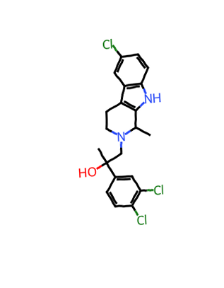 CC1c2[nH]c3ccc(Cl)cc3c2CCN1CC(C)(O)c1ccc(Cl)c(Cl)c1